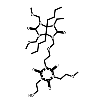 CCCCC12N(CC)C(=O)N(COCCn3c(=O)n(CCO)c(=O)n(CCOC)c3=O)C1(CCCC)N(COC)C(=O)N2COC